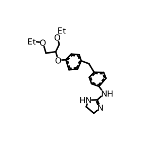 CCOCC(COCC)Oc1ccc(Cc2ccc(NC3=NCCN3)cc2)cc1